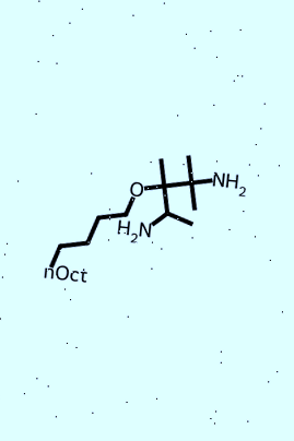 CCCCCCCCCCCCOC(C)(C(C)N)C(C)(C)N